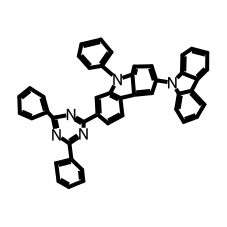 c1ccc(-c2nc(-c3ccccc3)nc(-c3ccc4c5cc(-n6c7ccccc7c7ccccc76)ccc5n(-c5ccccc5)c4c3)n2)cc1